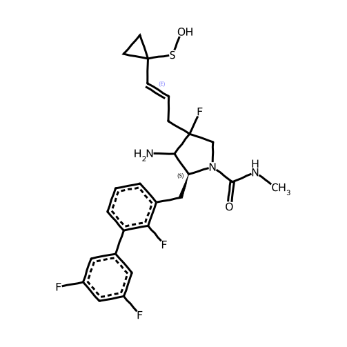 CNC(=O)N1CC(F)(C/C=C/C2(SO)CC2)C(N)[C@@H]1Cc1cccc(-c2cc(F)cc(F)c2)c1F